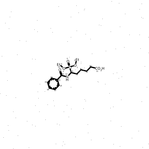 CCOP(=O)(OCC)C(CCCCC(=O)O)NC(=O)c1ccccc1